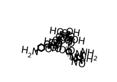 Nc1nc2c(ncn2[C@H]2CC(O)[C@@H](COP(=O)(O)OP(=O)(O)OP(=O)(O)OP(=O)(O)OP(=O)(O)OP(=O)(O)OC3CCC(N)CC3)O2)c(=O)[nH]1